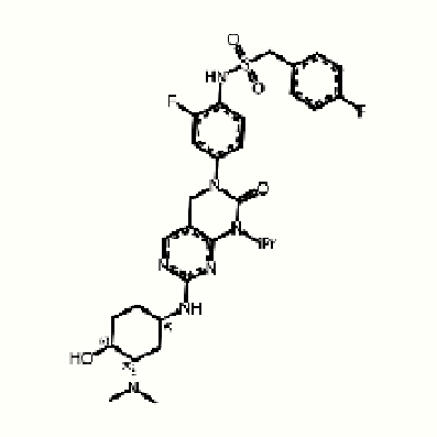 CC(C)N1C(=O)N(c2ccc(NS(=O)(=O)Cc3ccc(F)cc3)c(F)c2)Cc2cnc(N[C@@H]3CC[C@H](O)[C@@H](N(C)C)C3)nc21